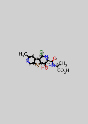 Cc1cc2c(cn1)sc1c(O)c(C(=O)N[C@@H](C)C(=O)O)nc(Cl)c12